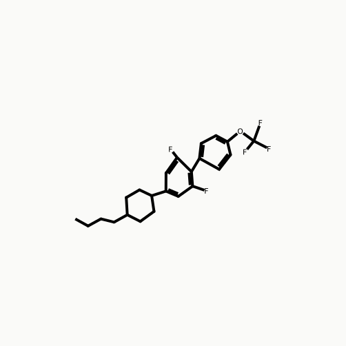 CCCCC1CCC(c2cc(F)c(-c3ccc(OC(F)(F)F)cc3)c(F)c2)CC1